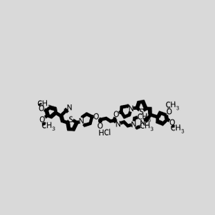 CCN(CC)CCN=C(CCC(=O)OC1CCN(c2ccc(C=C(C#N)c3ccc(OC)c(OC)c3)s2)CC1)OC1CCN(c2ccc(C=C(C#N)c3ccc(OC)c(OC)c3)s2)CC1.Cl